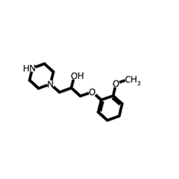 COC1=CCCC=C1OCC(O)CN1CCNCC1